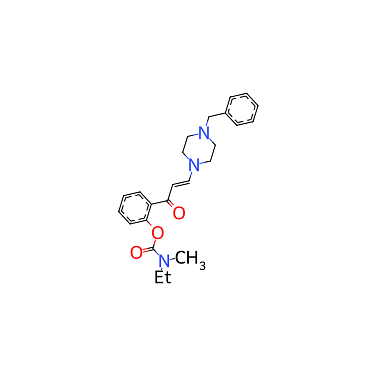 CCN(C)C(=O)Oc1ccccc1C(=O)C=CN1CCN(Cc2ccccc2)CC1